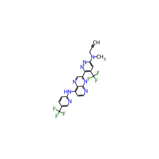 C#CCN(C)c1cc(C(F)(F)F)c(-c2cnc3c(Nc4ccc(C(F)(F)F)cn4)ccnc3n2)nn1